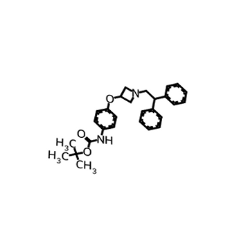 CC(C)(C)OC(=O)Nc1ccc(OC2CN(CC(c3ccccc3)c3ccccc3)C2)cc1